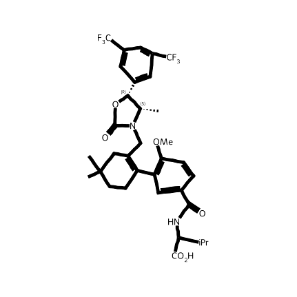 COc1ccc(C(=O)NC(C(=O)O)C(C)C)cc1C1=C(CN2C(=O)O[C@H](c3cc(C(F)(F)F)cc(C(F)(F)F)c3)[C@@H]2C)CC(C)(C)CC1